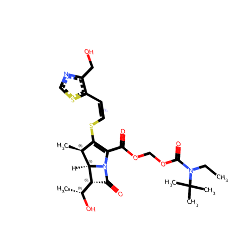 CCN(C(=O)OCOC(=O)C1=C(S/C=C\c2scnc2CO)[C@H](C)[C@@H]2[C@@H]([C@@H](C)O)C(=O)N12)C(C)(C)C